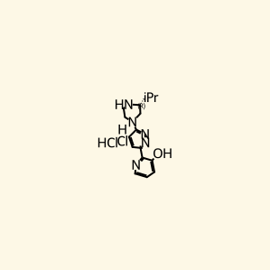 CC(C)[C@@H]1CN(c2ccc(-c3ncccc3O)nn2)CCN1.Cl.Cl